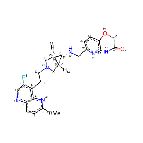 COc1ccc2ncc(F)c(CCN3C[C@@H]4[C@H](C3)[C@H]4NCc3ccc4c(n3)NC(=O)CO4)c2n1